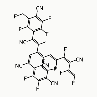 CC(=C(/C#N)c1c(F)c(F)c(C#N)c(CF)c1F)/C(/C=C(/C#N)c1c(F)c(F)c(C#N)c(F)c1F)=C(C#N)\C=C(F)\C(F)=C(C#N)/C(F)=C/F